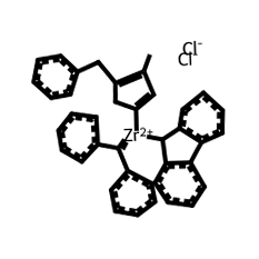 CC1=C(Cc2ccccc2)C[C]([Zr+2](=[C](c2ccccc2)c2ccccc2)[CH]2c3ccccc3-c3ccccc32)=C1.[Cl-].[Cl-]